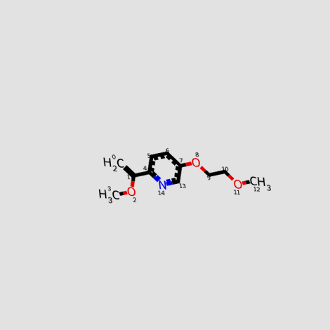 C=C(OC)c1ccc(OCCOC)cn1